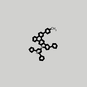 Cc1ccc(-c2ccc3c4ccccc4c4cc5c(cc4c3c2)c2cc(-c3ccccc3)ccc2n5-c2cc(-c3ccccc3)nc(-c3ccccc3)c2)cc1